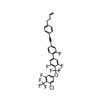 C=CCCc1ccc(C#Cc2ccc(-c3cc(F)c(C(F)(F)Oc4cc(F)c(C(F)(F)F)c(Cl)c4)c(F)c3)c(F)c2)cc1